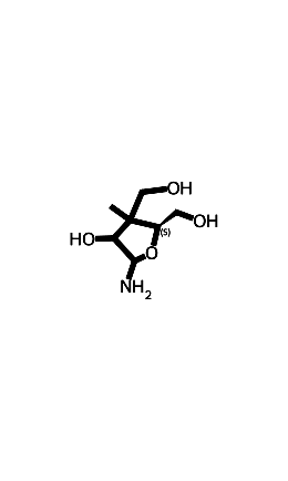 CC1(CO)C(O)C(N)O[C@@H]1CO